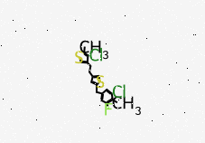 Cc1scc(CCc2csc(Cc3cc(F)c(C)c(Cl)c3)c2)c1Cl